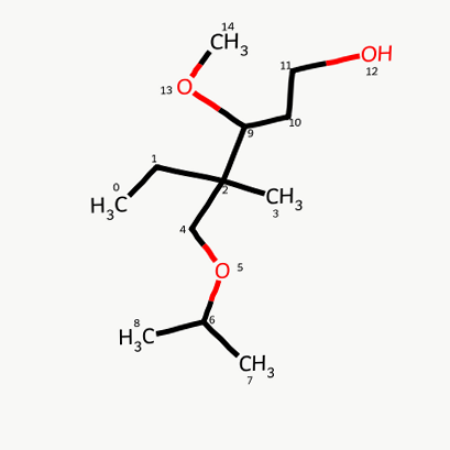 CCC(C)(COC(C)C)C(CCO)OC